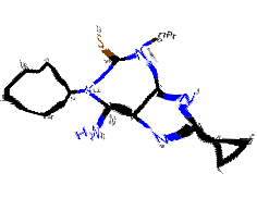 CCCn1c2nc(C3CC3)nc-2c(N)n(C2CCCC2)c1=S